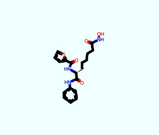 O=C(CCCCC[C@@H](NC(=O)c1cccs1)C(=O)Nc1ccccc1)NO